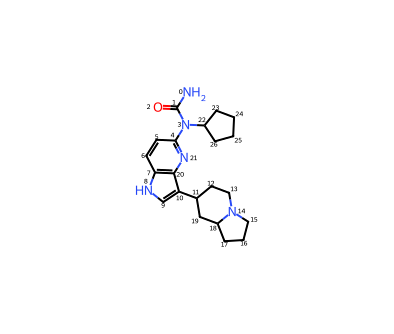 NC(=O)N(c1ccc2[nH]cc(C3CCN4CCCC4C3)c2n1)C1CCCC1